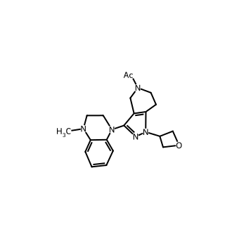 CC(=O)N1CCc2c(c(N3CCN(C)c4ccccc43)nn2C2COC2)C1